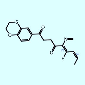 C=N/C(C(=O)CCC(=O)c1ccc2c(c1)SCCO2)=C(F)\C=C/C